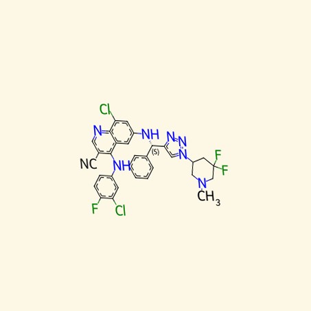 CN1CC(n2cc([C@@H](Nc3cc(Cl)c4ncc(C#N)c(Nc5ccc(F)c(Cl)c5)c4c3)c3ccccc3)nn2)CC(F)(F)C1